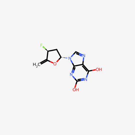 C=C1O[C@@H](n2cnc3c(O)nc(O)nc32)C[C@@H]1F